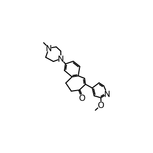 COc1cc(C2=Cc3ccc(N4CCN(C)CC4)cc3CCC2=O)ccn1